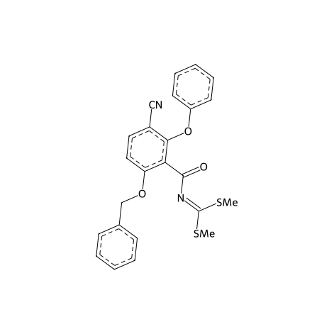 CSC(=NC(=O)c1c(OCc2ccccc2)ccc(C#N)c1Oc1ccccc1)SC